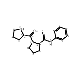 O=C(Nc1ccccc1)[C@H]1CCCN1C(=O)[C@H]1CCCN1